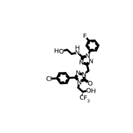 O=c1n(Cc2nc(NCCO)n(-c3cccc(F)c3)n2)nc(-c2ccc(Cl)cc2)n1C[C@H](O)C(F)(F)F